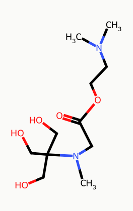 CN(C)CCOC(=O)CN(C)C(CO)(CO)CO